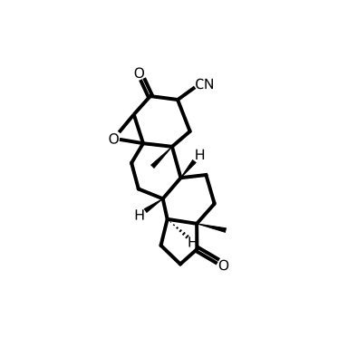 C[C@]12CC[C@@H]3[C@@H](CCC45OC4C(=O)C(C#N)C[C@]35C)[C@@H]1CCC2=O